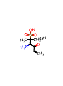 C=CC(=O)C(N)C(C)(C)S(=O)(=O)O.[NaH]